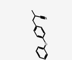 CC(C#N)Cc1ccc(Oc2ccccc2)cc1